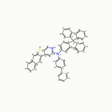 c1ccc(-c2ccc(N(c3ccc4c(c3)-c3ccccc3C4(c3ccccc3)c3ccccc3)c3cc4c(cn3)sc3cc5ccccc5cc34)cc2)cc1